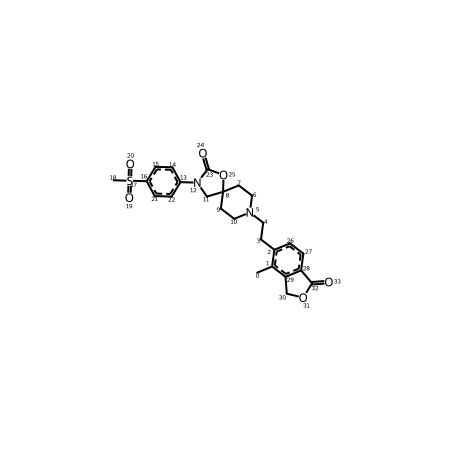 Cc1c(CCN2CCC3(CC2)CN(c2ccc(S(C)(=O)=O)cc2)C(=O)O3)ccc2c1COC2=O